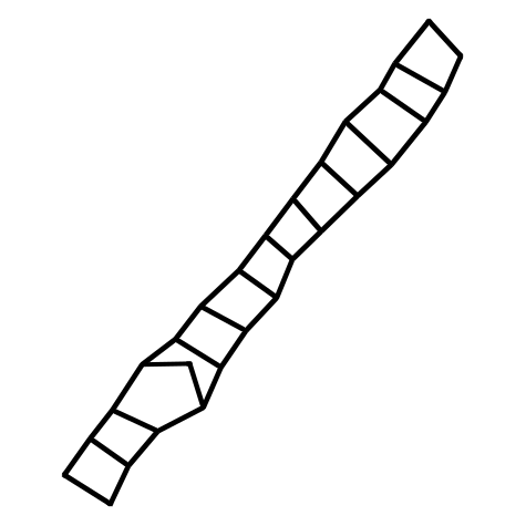 C1CC2C1C1C3CC(C21)C1C3C2C1C1C2C2C3C4C5C6C7CCC7C6C5C4C3C12